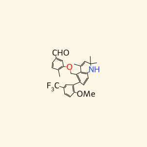 COc1ccc(C(F)(F)F)cc1-c1ccc2c(c1COc1cc(C=O)ccc1C)C(C)=CC(C)(C)N2